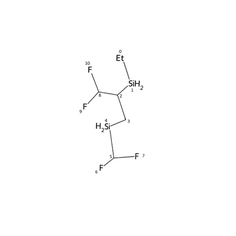 CC[SiH2]C(C[SiH2]C(F)F)C(F)F